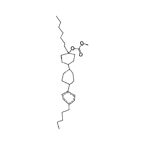 CCCCCCCC1(OC(=O)OC)CCC(C2CCC(c3ccc(CCCCC)cc3)CC2)CC1